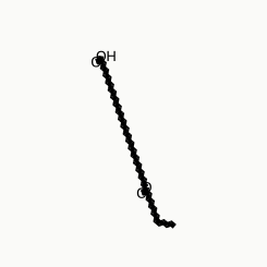 CCCC/C=C\CCCCCCCC(=O)OCCCCCCCCCCCCCCCCCCCCCCCCCCCCCCCCCCC(=O)O